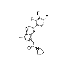 Cc1cn(CC(=O)N2CCCC2)c2cc(-c3ccc(F)c(F)c3F)cnc12